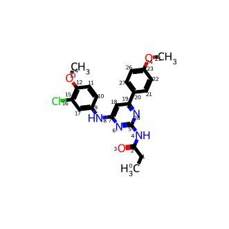 CCC(=O)Nc1nc(Nc2ccc(OC)c(Cl)c2)cc(-c2ccc(OC)cc2)n1